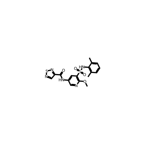 COc1ncc(NC(=O)c2cnsn2)cc1S(=O)(=O)Nc1c(C)cccc1C